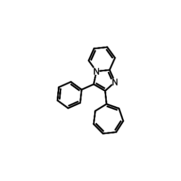 C1=CC=C(c2nc3ccccn3c2-c2ccccc2)CC=C1